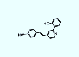 N#Cc1ccc(C=Cc2ccnc(-c3ccccc3O)c2)cc1